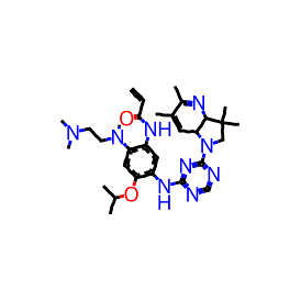 C=CC(=O)Nc1cc(Nc2ncnc(N3CC(C)(C)C4N=C(C)C(C)=CC43)n2)c(OC(C)C)cc1N(C)CCN(C)C